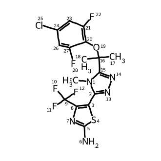 Cn1c(-c2sc(N)nc2C(F)(F)F)nnc1C(C)(C)Oc1c(F)cc(Cl)cc1F